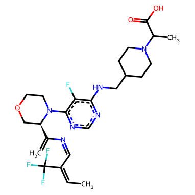 C=C(/N=C\C(=C/C)C(F)(F)F)[C@H]1COCCN1c1ncnc(NCC2CCN(C(C)C(=O)O)CC2)c1F